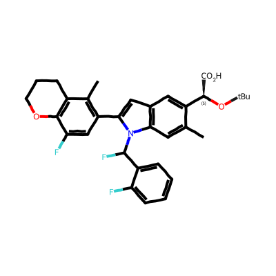 Cc1cc2c(cc1[C@H](OC(C)(C)C)C(=O)O)cc(-c1cc(F)c3c(c1C)CCCO3)n2C(F)c1ccccc1F